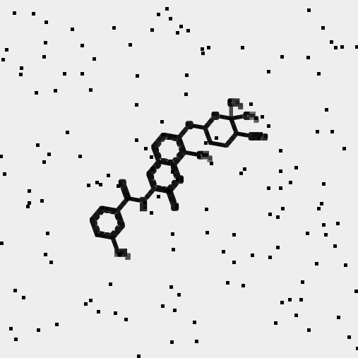 COC1CCC(Oc2ccc3cc(NC(=O)c4cccc(N)c4)c(=O)oc3c2C)OC1(C)C